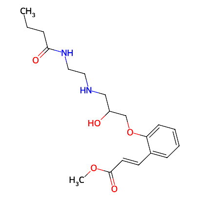 CCCC(=O)NCCNCC(O)COc1ccccc1C=CC(=O)OC